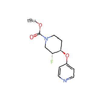 CC(C)(C)OC(=O)N1CC[C@@H](Oc2ccncc2)[C@H](F)C1